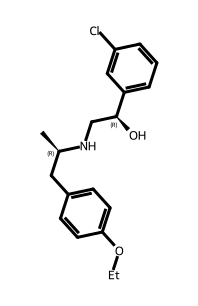 CCOc1ccc(C[C@@H](C)NC[C@H](O)c2cccc(Cl)c2)cc1